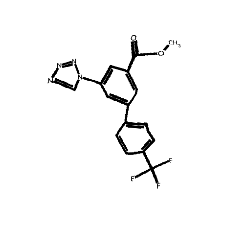 COC(=O)c1cc(-c2ccc(C(F)(F)F)cc2)cc(-n2cnnn2)c1